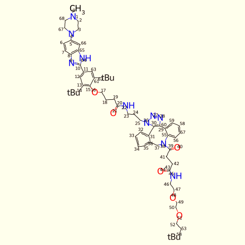 CN1CCN(c2ccc3nc(-c4cc(C(C)(C)C)c(OCCCC(=O)NCCCn5nnc6c5-c5ccccc5CN(C(=O)CCC(=O)NCCOCCOCCC(C)(C)C)c5ccccc5-6)c(C(C)(C)C)c4)[nH]c3c2)CC1